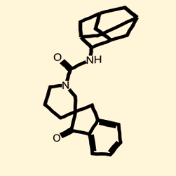 O=C(NC1C2CC3CC(C2)CC1C3)N1CCCC2(Cc3ccccc3C2=O)C1